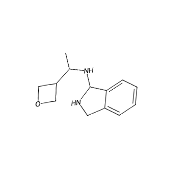 CC(NC1NCc2ccccc21)C1COC1